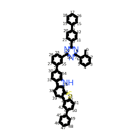 Cc1ccccc1-c1nc(-c2ccc(-c3ccccc3)cc2)nc(-c2cccc(-c3ccc4c(c3)[nH]c3c4ccc4c5cc(-c6ccccc6)ccc5sc43)c2)n1